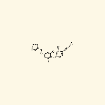 Cc1cc(OCc2cccnn2)cc(=O)n1[C@H](C)c1ccc(C#CC2CC2)c(F)c1